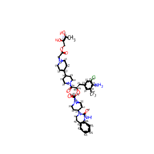 C/C(O)=C(/O)COC(=O)CN1CCC(C2CCN(C(=O)[C@@H](Cc3cc(Cl)c(N)c(C(F)(F)F)c3)OC(=O)N3CCC(N4CCc5ccccc5NC4=O)CC3)CC2)CC1